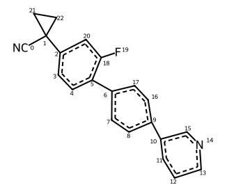 N#CC1(c2ccc(-c3ccc(-c4cccnc4)cc3)c(F)c2)CC1